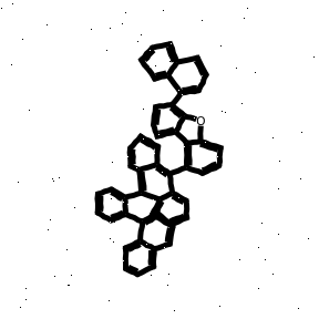 c1ccc(-c2c3ccccc3c(-c3cccc4oc5c(-c6cccc7ccccc67)cccc5c34)c3ccccc23)c(-c2cccc3ccccc23)c1